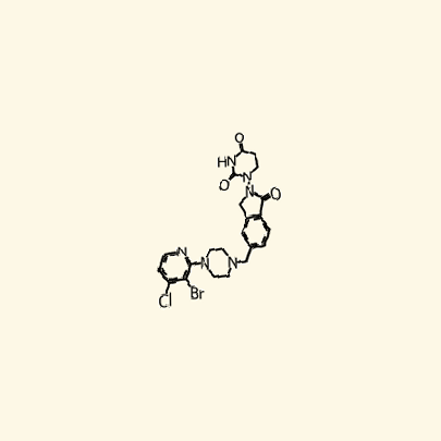 O=C1CCN(N2Cc3cc(CN4CCN(c5nccc(Cl)c5Br)CC4)ccc3C2=O)C(=O)N1